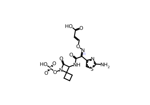 Nc1nc(/C(=N/OC=CC(=O)O)C(=O)NC2C(=O)N(OS(=O)(=O)O)C23CCC3)cs1